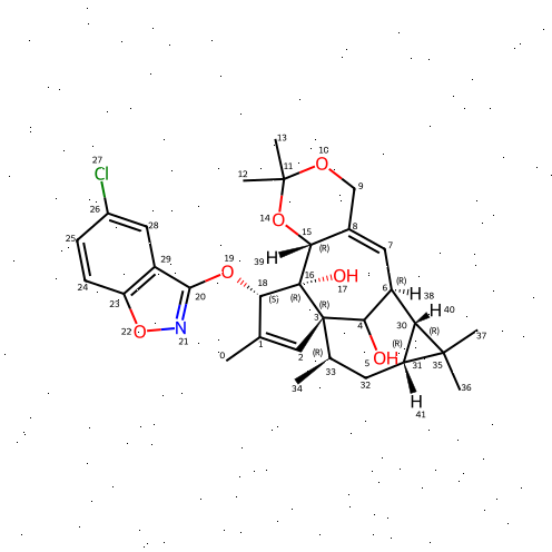 CC1=C[C@]23C(O)[C@@H](C=C4COC(C)(C)O[C@H]4[C@]2(O)[C@H]1Oc1noc2ccc(Cl)cc12)[C@H]1[C@@H](C[C@H]3C)C1(C)C